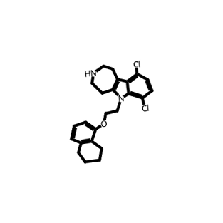 Clc1ccc(Cl)c2c1c1c(n2CCOc2cccc3c2CCCC3)CCNCC1